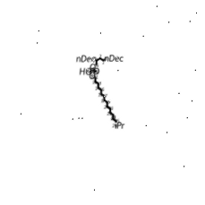 CCCCCCCCCCCCC(CCCCCCCCCC)COP(=O)(O)OCCCCCCCCCCCCCCCC(C)C